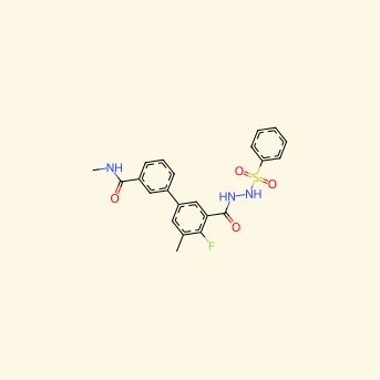 CNC(=O)c1cccc(-c2cc(C)c(F)c(C(=O)NNS(=O)(=O)c3ccccc3)c2)c1